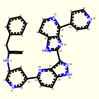 C=C(Cc1ccccc1)Nc1cncc(-c2ccc3[nH]nc(-c4nc5c(-c6ccncc6)nccc5[nH]4)c3n2)c1